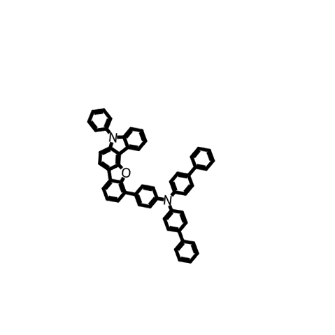 c1ccc(-c2ccc(N(c3ccc(-c4ccccc4)cc3)c3ccc(-c4cccc5c4oc4c5ccc5c4c4ccccc4n5-c4ccccc4)cc3)cc2)cc1